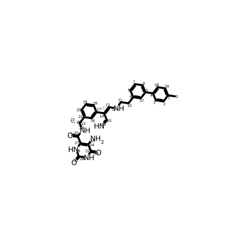 Cc1ccc(-c2cccc(CCN/C=C(\C=N)c3cccc([C@@H](C)NC(=O)c4[nH]c(=O)[nH]c(=O)c4N)c3)c2)cc1